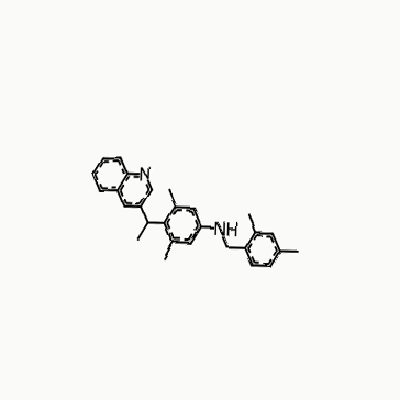 Cc1ccc(CNc2cc(C)c(C(C)c3cnc4ccccc4c3)c(C)c2)c(C)c1